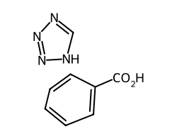 O=C(O)c1ccccc1.c1nnn[nH]1